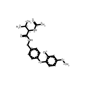 COc1ccc(Oc2ccc(CNC(=O)C(NC(C)=O)C(C)C)cc2)c(Cl)c1